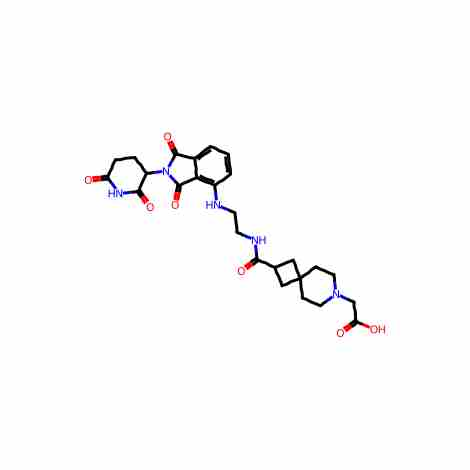 O=C(O)CN1CCC2(CC1)CC(C(=O)NCCNc1cccc3c1C(=O)N(C1CCC(=O)NC1=O)C3=O)C2